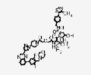 Cc1ncsc1-c1ccc(CNC(=O)[C@@H]2C[C@@H](O)CN2C(=O)C(NC(=O)COCC(=O)N2CCC(n3cc(-c4cnc5cccc(-c6cc(F)c(CN7CCOCC7)c(F)c6)c5n4)cn3)CC2)C(C)(C)C)cc1